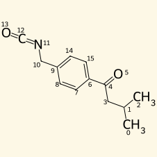 CC(C)CC(=O)c1ccc(CN=C=O)cc1